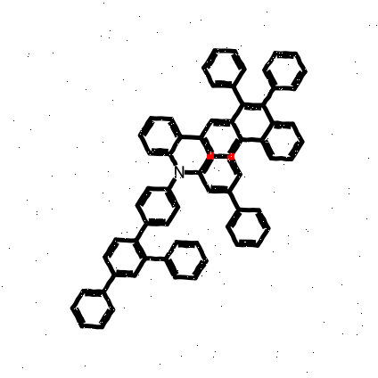 c1ccc(-c2cccc(N(c3ccc(-c4ccc(-c5ccccc5)cc4-c4ccccc4)cc3)c3ccccc3-c3ccc4c(c3)c(-c3ccccc3)c(-c3ccccc3)c3ccccc34)c2)cc1